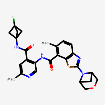 COc1cc(C(=O)NC23CC(F)(C2)C3)c(NC(=O)c2c(OC)ccc3nc(N4C5COCC4C5)sc23)cn1